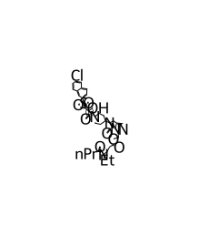 CCCC(=O)N(CC)CCC(=O)OCc1ncc2n1C(=O)N(C1CCN(C(=O)[C@H](O)CS(=O)(=O)c3ccc4cc(Cl)ccc4c3)CC1)C2